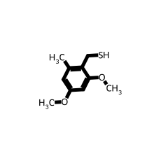 COc1cc(C)c(CS)c(OC)c1